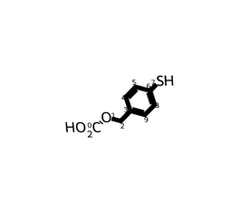 O=C(O)OCc1ccc(S)cc1